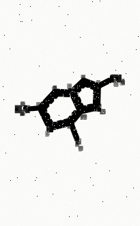 Cc1cn2cc(N)nc(F)c2n1